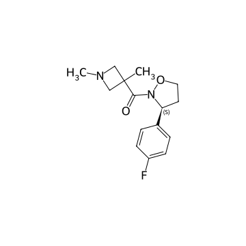 CN1CC(C)(C(=O)N2OCC[C@H]2c2ccc(F)cc2)C1